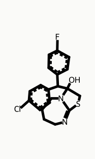 OC1(C(c2ccc(F)cc2)c2ccc(Cl)cc2)CSC2=NCCCCN21